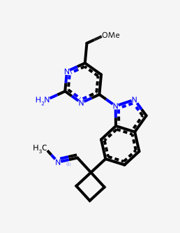 C/N=C/C1(c2ccc3cnn(-c4cc(COC)nc(N)n4)c3c2)CCC1